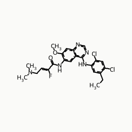 CCc1cc(Nc2ncnc3cc(OC)c(NC(=O)C(F)=CCN(C)C)cc23)c(Cl)cc1Cl